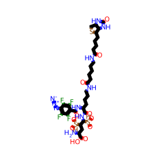 [N-]=[N+]=Nc1c(F)c(F)c(C(=O)NC(CCCCNC(=O)CCCCCNC(=O)CCCCC2SCC3NC(=O)NC32)C(=O)NC(C(CC(N)C(=O)O)[SH](=O)=O)[SH](=O)=O)c(F)c1F